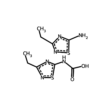 CCc1nsc(N)n1.CCc1nsc(NC(=O)O)n1